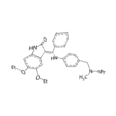 CCCN(C)Cc1ccc(NC(=C2C(=O)Nc3cc(OCC)c(OCC)cc32)c2ccccc2)cc1